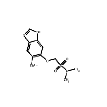 COc1cc2nc[nH]c2cc1OCS(=O)(=O)N(C)C